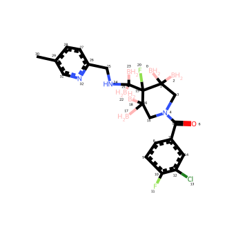 BC1(B)CN(C(=O)c2ccc(F)c(Cl)c2)CC(B)(B)C1(F)C(B)(B)NCc1ccc(C)cn1